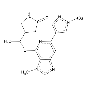 CC(Oc1nc(-c2cnn(C(C)(C)C)c2)cc2ncn(C)c12)C1CNC(=O)C1